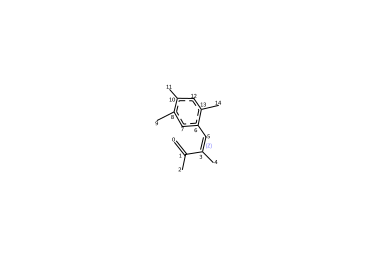 C=C(C)/C(C)=C\c1cc(C)c(C)cc1C